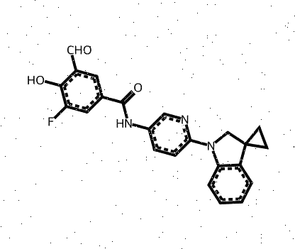 O=Cc1cc(C(=O)Nc2ccc(N3CC4(CC4)c4ccccc43)nc2)cc(F)c1O